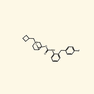 O=C(Nc1ccccc1Cc1ccc(F)cc1)OC1C[N+]2(CC3CCC3)CCC1CC2